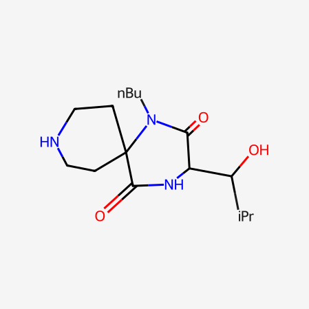 CCCCN1C(=O)C(C(O)C(C)C)NC(=O)C12CCNCC2